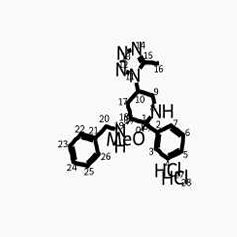 CO[C@]1(c2ccccc2)NCC(n2nnnc2C)C[C@H]1NCc1ccccc1.Cl.Cl